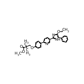 C=COc1nc(-c2ccc(-c3ccc(OCC(C)(C)C(=O)OC)cc3)nc2)[nH]c1-c1ccccc1